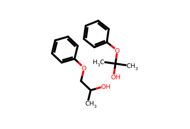 CC(C)(O)Oc1ccccc1.CC(O)COc1ccccc1